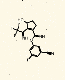 N#Cc1cc(F)cc(OC(=N)C2=C(C(=N)C(F)(F)F)C(O)CC2)c1